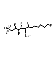 O=S(=O)([O-])CC(F)C(F)C(F)C(F)C(F)CCCCCCF.[Na+]